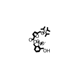 CC(C)[Si](OCc1ccc(C(=O)OCc2cccc(CO)c2[N+](=O)[O-])o1)(C(C)C)C(C)C